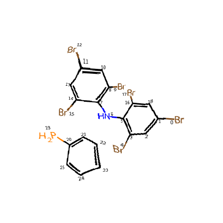 Brc1cc(Br)c(Nc2c(Br)cc(Br)cc2Br)c(Br)c1.Pc1ccccc1